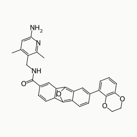 Cc1cc(N)nc(C)c1CNC(=O)c1ccc2c(c1)c1oc2c2ccc(-c3cccc4c3OCCO4)cc21